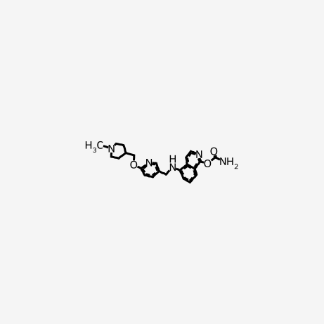 CN1CCC(COc2ccc(CNc3cccc4c(OC(N)=O)nccc34)cn2)CC1